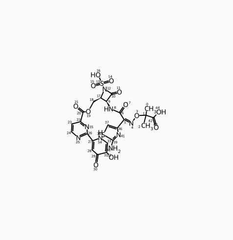 CC(C)(ON=C(C(=O)N[C@@H]1C(=O)N(S(=O)(=O)O)[C@@H]1COC(=O)c1ccnc(-c2cc(=O)c(O)c[nH]2)n1)c1csc(N)n1)C(=O)O